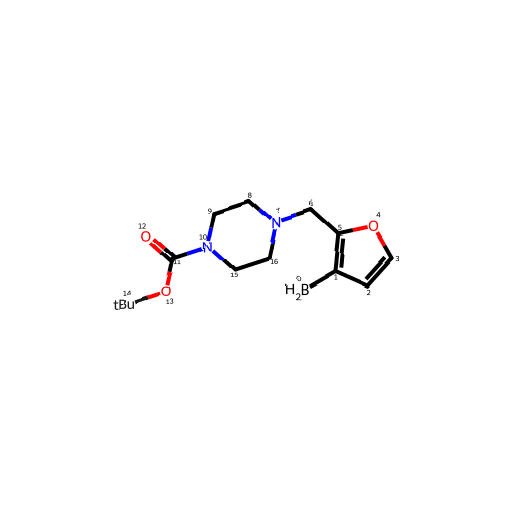 Bc1ccoc1CN1CCN(C(=O)OC(C)(C)C)CC1